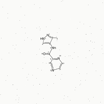 Cc1n[nH]cc1NC(=O)c1cnccn1